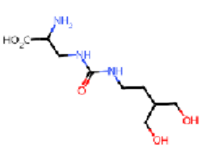 NC(CNC(=O)NCCC(CO)CO)C(=O)O